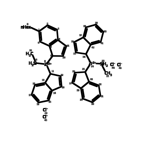 CCCCCCc1ccc2c(c1)[CH]([Zr+2]([SiH2]C)[CH]1C=Cc3ccccc31)C=C2.C[SiH2][Zr+2]([CH]1C=Cc2ccccc21)[CH]1C=Cc2ccccc21.[Cl-].[Cl-].[Cl-].[Cl-]